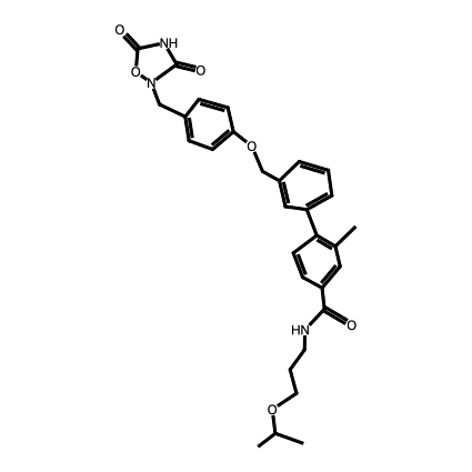 Cc1cc(C(=O)NCCCOC(C)C)ccc1-c1cccc(COc2ccc(Cn3oc(=O)[nH]c3=O)cc2)c1